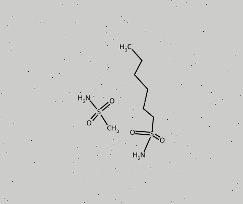 CCCCCCS(N)(=O)=O.CS(N)(=O)=O